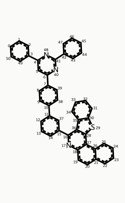 c1ccc(-c2cc(-c3ccc(-c4cccc(-c5nc6ccc7ccccc7c6c6sc7ccccc7c56)c4)cc3)nc(-c3ccccc3)n2)cc1